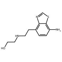 Nc1ccc(CCNCCO)c2ncsc12